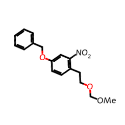 COCOCCc1ccc(OCc2ccccc2)cc1[N+](=O)[O-]